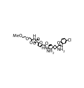 COCCOCC(=O)NS(=O)(=O)c1ccc(C(=O)N[C@@]2(N)C#C[C@]3(C2)C[C@@](N)(c2nc4cc(Cl)ccc4o2)C3)o1